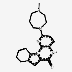 CN1CCCN(c2ccc3[nH]c(=O)c4cc5c(n4c3n2)CCCC5)CC1